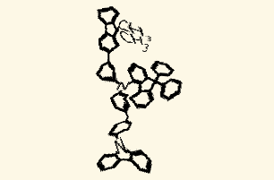 CC1(C)c2ccccc2-c2ccc(-c3cccc(N(c4ccc(-c5ccc(-n6c7ccccc7c7ccccc76)cc5)cc4)c4cccc5c4-c4ccccc4C5(c4ccccc4)c4ccccc4)c3)cc21